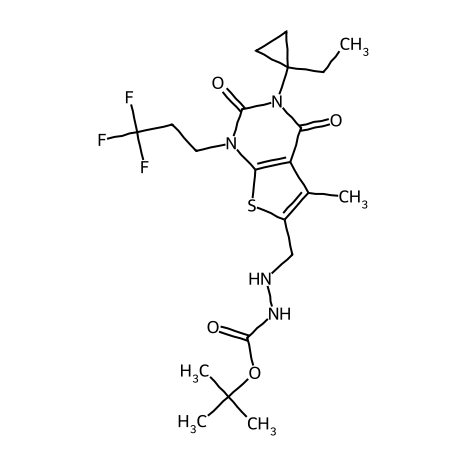 CCC1(n2c(=O)c3c(C)c(CNNC(=O)OC(C)(C)C)sc3n(CCC(F)(F)F)c2=O)CC1